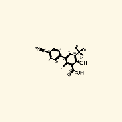 Cc1c(-c2ccc(C#N)cc2)cc(C(C)(C)C)c(O)c1C(=O)O